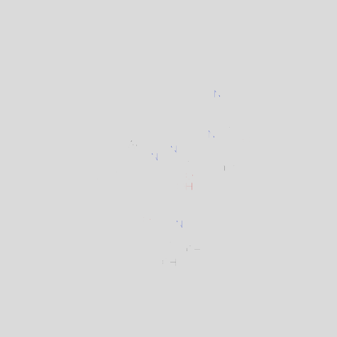 CC(=O)N([C@@H](Cc1ccccc1)C(O)C1=NC(C)(C)CO1)N1C(=O)C(C(C)C)N(C(=O)c2ccccn2)C=C1c1ccccc1